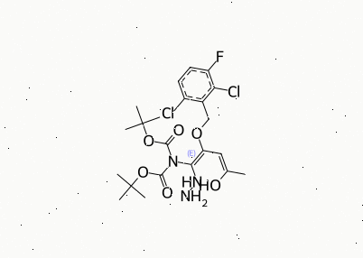 CC(O)=C/C(OCc1c(Cl)ccc(F)c1Cl)=C(\NN)N(C(=O)OC(C)(C)C)C(=O)OC(C)(C)C